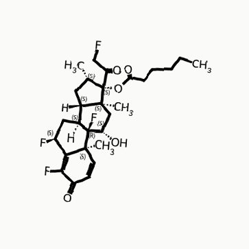 CCCCCC(=O)O[C@@]1(C(=O)CF)[C@@H](C)C[C@H]2[C@@H]3C[C@H](F)C4=C(F)C(=O)C=C[C@]4(C)[C@@]3(F)[C@@H](O)C[C@@]21C